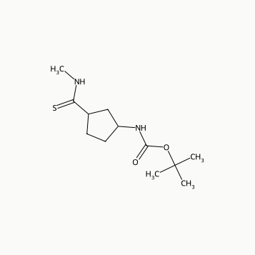 CNC(=S)C1CCC(NC(=O)OC(C)(C)C)C1